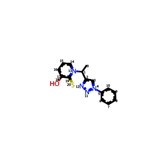 CC(c1cn(-c2ccccc2)nn1)n1cccc(O)c1=S